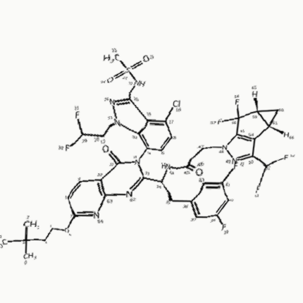 CC(C)(C)CCOc1ccc2c(=O)n(-c3ccc(Cl)c4c(NS(C)(=O)=O)nn(CC(F)F)c34)c([C@H](Cc3cc(F)cc(F)c3)NC(=O)Cn3nc(C(F)F)c4c3C(F)(F)[C@@H]3C[C@H]43)nc2n1